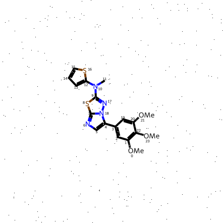 COc1cc(-c2cnc3sc(N(C)c4cccs4)nn23)cc(OC)c1OC